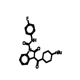 CCCCC1CCC(C(=O)C2C(=O)N(C(=O)Nc3ccc(F)cc3)c3ccccc32)CC1